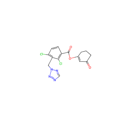 O=C1C=C(OC(=O)c2ccc(Cl)c(Cn3ncnn3)c2Cl)CCC1